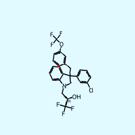 O[C@H](CN1CC(Cc2cccc(OC(F)(F)F)c2)(c2cccc(Cl)c2)c2ccccc21)C(F)(F)F